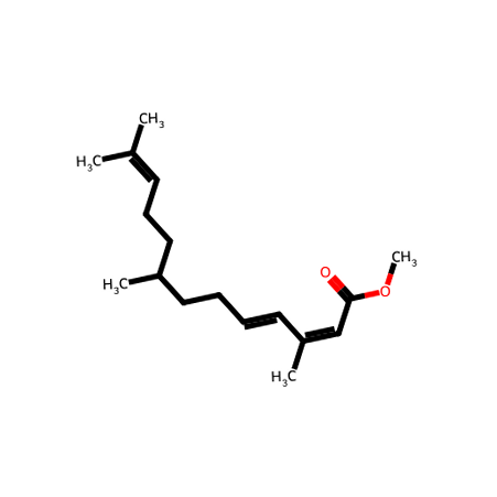 COC(=O)C=C(C)C=CCCC(C)CCC=C(C)C